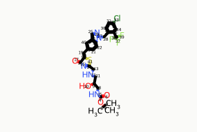 CC(C)(C)OC(=O)NCC(O)CNCC1=NC(=O)/C(=C/c2ccc3c(cnn3Cc3ccc(Cl)cc3C(F)(F)F)c2)S1